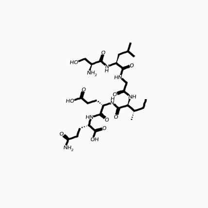 CC[C@H](C)[C@H](NC(=O)CNC(=O)[C@H](CC(C)C)NC(=O)[C@@H](N)CO)C(=O)N[C@@H](CCC(=O)O)C(=O)N[C@@H](CCC(N)=O)C(=O)O